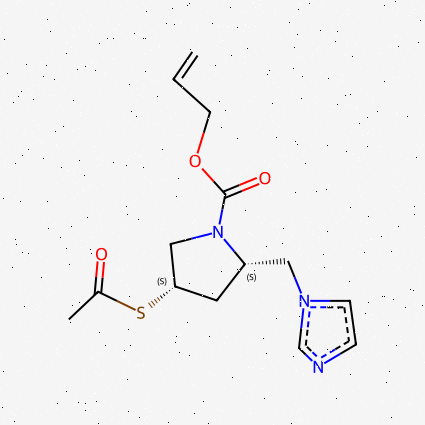 C=CCOC(=O)N1C[C@@H](SC(C)=O)C[C@H]1Cn1ccnc1